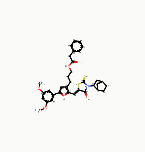 COc1cc(OC)cc(-c2cc(CCCOC(=O)Cc3ccccc3)c(/C=C3\SC(=S)N(C4CC5CCC4C5)C3=O)o2)c1